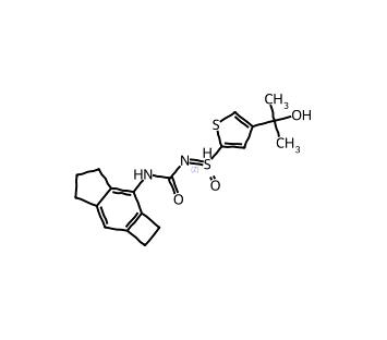 CC(C)(O)c1csc(/[SH](=O)=N/C(=O)Nc2c3c(cc4c2CC4)CCC3)c1